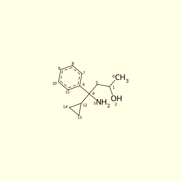 CC(O)CC(N)(c1ccccc1)C1CC1